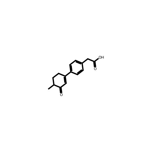 CC1CCC(c2ccc(CC(=O)O)cc2)=CC1=O